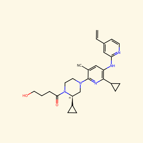 C=Cc1ccnc(Nc2cc(C#N)c(N3CCN(C(=O)CCCO)[C@H](C4CC4)C3)nc2C2CC2)c1